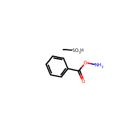 CS(=O)(=O)O.NOC(=O)c1ccccc1